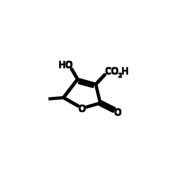 CC1OC(=O)C(C(=O)O)=C1O